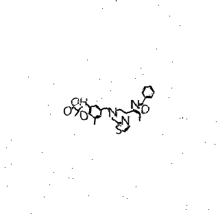 Cc1cc(CN(CCc2nc(-c3ccccc3)oc2C)Cc2nccs2)cc(C)c1OC(C)(C)C(=O)O